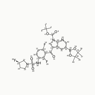 CC(C)(C)OC(=O)n1cc(C(=O)c2c(F)ccc(NS(=O)(=O)N3CC[C@@H](F)C3)c2F)c2cc(B3OC(C)(C)C(C)(C)O3)cnc21